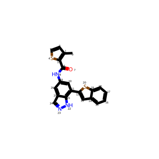 Cc1ccsc1C(=O)Nc1cc(-c2cc3ccccc3s2)c2[nH]ncc2c1